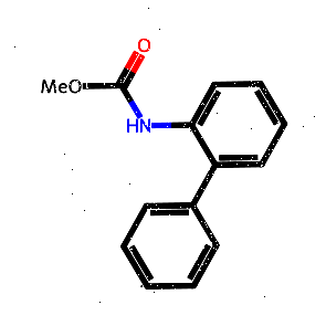 COC(=O)Nc1ccccc1-c1cc[c]cc1